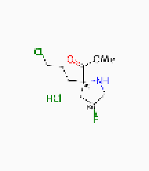 COC(=O)[C@@]1(CCCCl)C[C@H](F)CN1.Cl